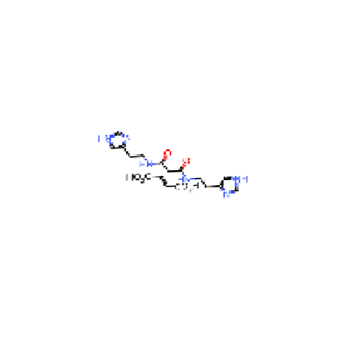 O=C(CC(=O)NCCc1c[nH]cn1)NCCc1c[nH]cn1.O=C(O)/C=C/C(=O)O